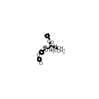 CC(C)(C)OC(=O)N[C@@H](CC(=O)OCc1ccccc1)Cc1nnc(-c2ccc(Oc3ccc(Cl)cc3)cc2)o1